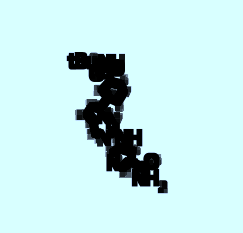 CC(C)(C)NS(=O)(=O)c1cccc(-c2ccc3cnc(Nc4cncc(C(N)=O)c4)nn23)c1